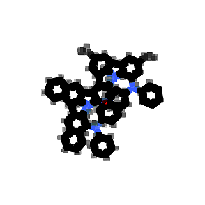 CC(C)(C)c1cc(N(c2ccccc2)c2ccccc2)c2c(c1)c1cc(C(C)(C)C)cc3c4c5c6cc7ccccc7c7c8cc9ccccc9c(N(c9ccccc9)c9ccccc9)c8n(c5ncc4n2c13)c67